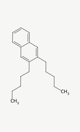 CCCCCc1cc2ccccc2cc1CCCCC